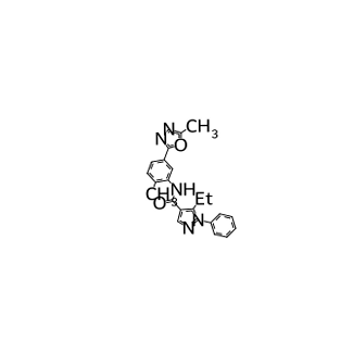 CCc1c(C(=O)Nc2cc(-c3nnc(C)o3)ccc2C)cnn1-c1ccccc1